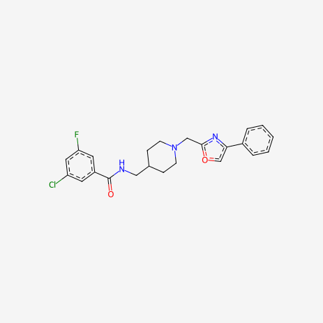 O=C(NCC1CCN(Cc2nc(-c3ccccc3)co2)CC1)c1cc(F)cc(Cl)c1